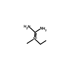 CC[N+](C)=C(N)N